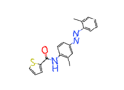 Cc1ccccc1N=Nc1ccc(NC(=O)c2cccs2)c(C)c1